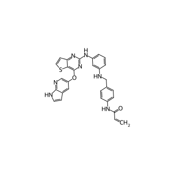 C=CC(=O)Nc1ccc(CNc2cccc(Nc3nc(Oc4cnc5[nH]ccc5c4)c4sccc4n3)c2)cc1